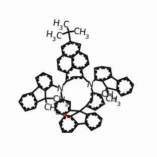 CC(C)(C)c1cc2ccc3c4cc(c5ccc(c1)c2c35)N(c1cccc2c1C(C)(C)c1ccccc1-2)c1cccc(c1)C1(c2cccc(c2)N4c2cccc3c2C(C)(C)c2ccccc2-3)c2ccccc2-c2ccccc21